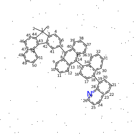 CC1(C)c2ccc(-c3c4ccccc4c(-c4ccc(-c5cccc6cccnc56)c5ccccc45)c4ccccc34)cc2-c2c1ccc1ccccc21